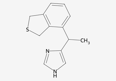 CC(c1c[nH]cn1)c1cccc2c1CSC2